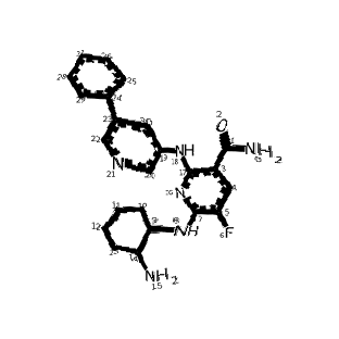 NC(=O)c1cc(F)c(NC2CCCCC2N)nc1Nc1cncc(-c2ccccc2)c1